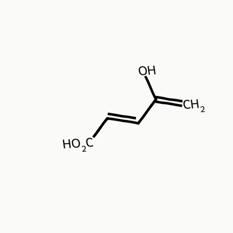 C=C(O)C=CC(=O)O